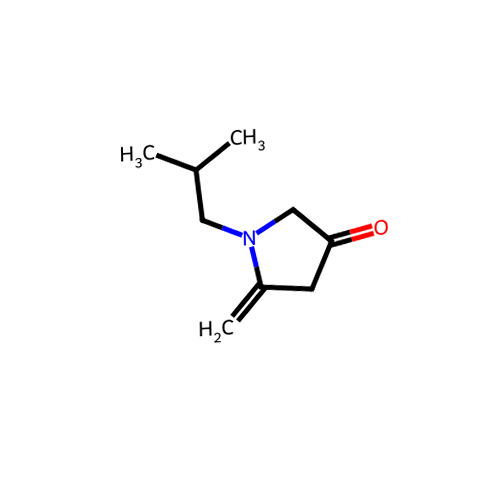 C=C1CC(=O)CN1CC(C)C